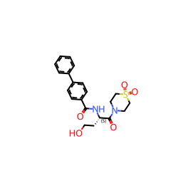 O=C(N[C@@H](CCO)C(=O)N1CCS(=O)(=O)CC1)c1ccc(-c2ccccc2)cc1